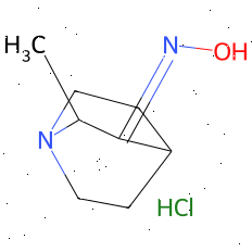 CC1/C(=N/O)C2CCN1CC2.Cl